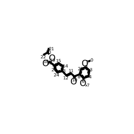 COc1ccc(OC)c(C(=O)C=Cc2ccc(C(=O)OC(C)C)cc2)c1